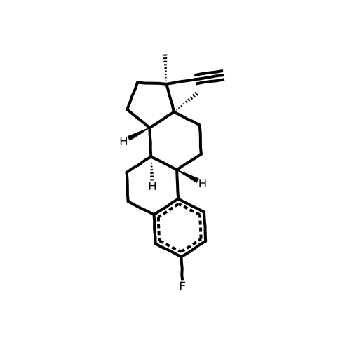 C#C[C@]1(C)CC[C@H]2[C@@H]3CCc4cc(F)ccc4[C@H]3CC[C@@]21C